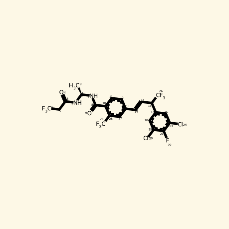 C[C@H](NC(=O)CC(F)(F)F)NC(=O)c1ccc(/C=C/C(c2cc(Cl)c(F)c(Cl)c2)C(F)(F)F)cc1C(F)(F)F